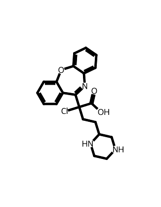 O=C(O)C(Cl)(CCC1CNCCN1)C1=Nc2ccccc2Oc2ccccc21